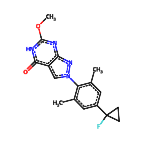 COc1nc2nn(-c3c(C)cc(C4(F)CC4)cc3C)cc2c(=O)[nH]1